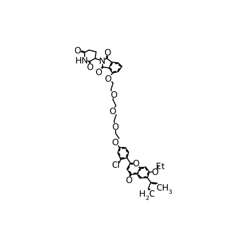 C=C/C(=C\C)c1cc2c(=O)cc(-c3ccc(OCCOCCOCCOCCOc4cccc5c4C(=O)N(C4CCC(=O)NC4=O)C5=O)cc3Cl)oc2cc1OCC